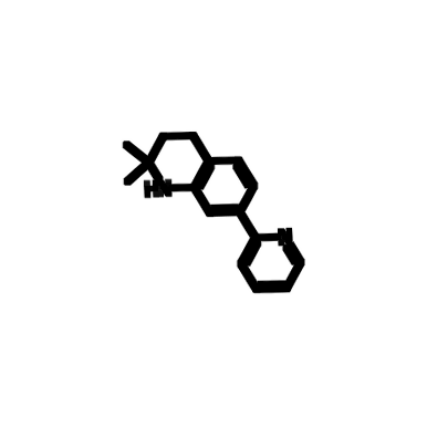 CC1(C)CCc2ccc(-c3ccccn3)cc2N1